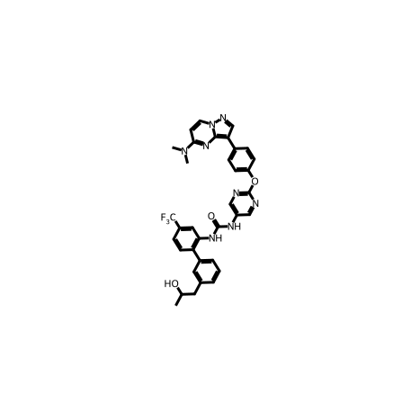 CC(O)Cc1cccc(-c2ccc(C(F)(F)F)cc2NC(=O)Nc2cnc(Oc3ccc(-c4cnn5ccc(N(C)C)nc45)cc3)nc2)c1